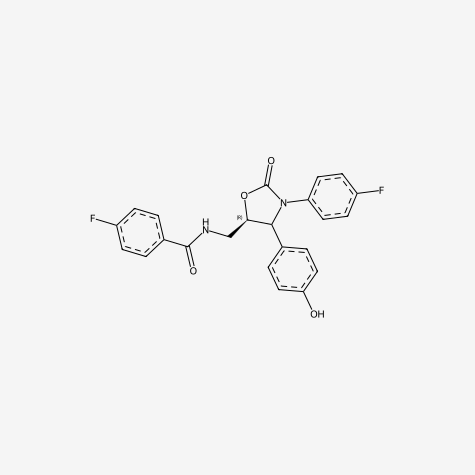 O=C(NC[C@H]1OC(=O)N(c2ccc(F)cc2)C1c1ccc(O)cc1)c1ccc(F)cc1